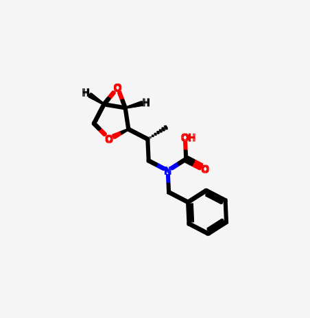 C[C@H](CN(Cc1ccccc1)C(=O)O)[C@H]1OC[C@@H]2O[C@H]12